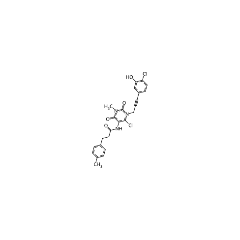 Cc1ccc(CCC(=O)Nc2c(Cl)n(CC#Cc3ccc(Cl)c(O)c3)c(=O)n(C)c2=O)cc1